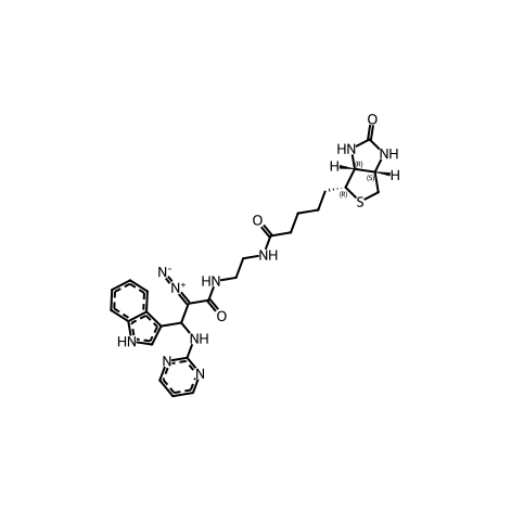 [N-]=[N+]=C(C(=O)NCCNC(=O)CCCC[C@H]1SC[C@H]2NC(=O)N[C@H]21)C(Nc1ncccn1)c1c[nH]c2ccccc12